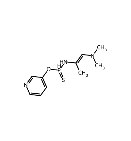 C/C(=C\N(C)C)N[PH](=S)Oc1cccnc1